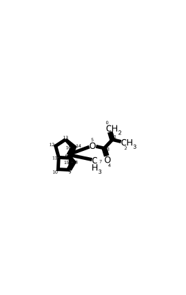 C=C(C)C(=O)OC1(C)C=C2CC3CC(CC23)C1